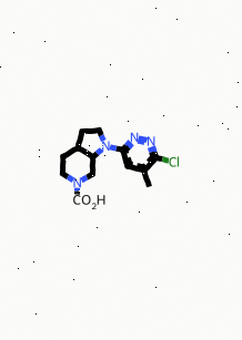 Cc1cc(N2CCC3CCN(C(=O)O)CC32)nnc1Cl